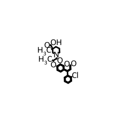 CC(Oc1ccc2c(-c3ccccc3Cl)cc(=O)oc2c1)C(=O)N1CCCC(C)(C(=O)O)C1